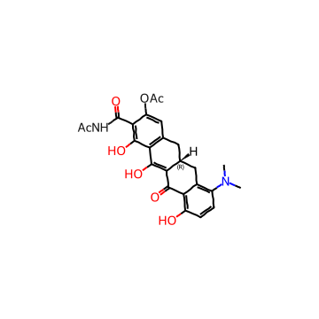 CC(=O)NC(=O)c1c(OC(C)=O)cc2c(c1O)C(O)=C1C(=O)c3c(O)ccc(N(C)C)c3C[C@H]1C2